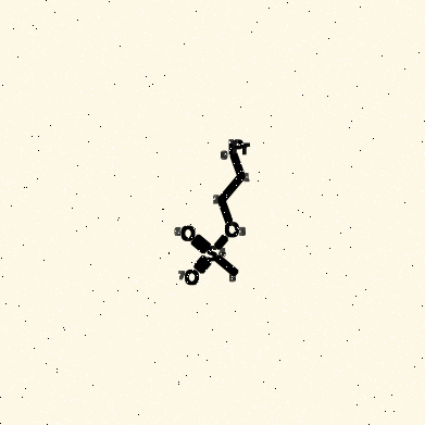 CC(C)CCOS(C)(=O)=O